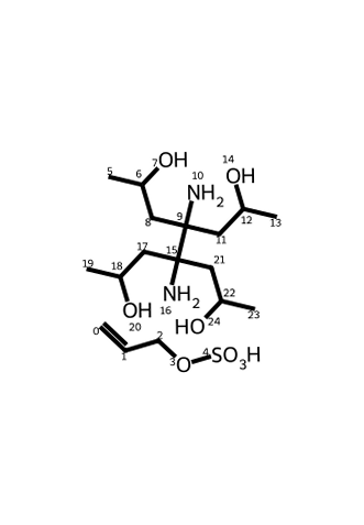 C=CCOS(=O)(=O)O.CC(O)CC(N)(CC(C)O)C(N)(CC(C)O)CC(C)O